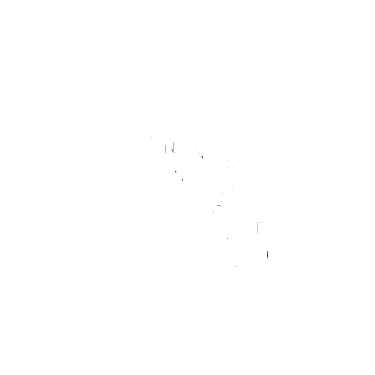 CC(CCOC(=O)c1cnc(N(C)Cc2ccccc2)nc1C)=C(F)F